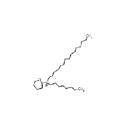 CCCCCCCCCCCCCCC[SiH](CCCCCCCC)C1CCCCO1